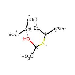 CCCCCC(CC)SC(O)C(=O)O.CCCCCCC[CH2][Sn][CH2]CCCCCCC